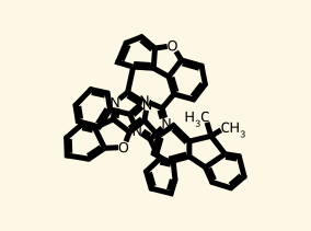 CC1(C)c2ccccc2-c2ccc(-c3nc(-c4cccc5oc6cccc(-c7nc(-c8ccccc8)nc(-c8ccccc8)n7)c6c45)nc4c3oc3ccccc34)cc21